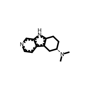 CN(C)[C@H]1CCc2[nH]c3cnccc3c2C1